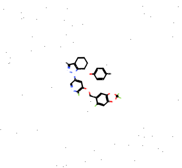 C[C@H](Oc1cc(-n2nc(C(F)(F)F)c3c2[C@@H](Oc2ccc(C(=O)O)cc2)CCC3)cnc1F)c1cc2c(cc1F)OC(F)(F)O2